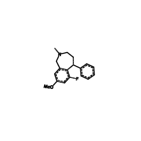 COc1cc(F)c2c(c1)CN(C)CCC2c1ccccc1